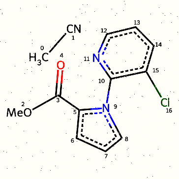 CC#N.COC(=O)c1cccn1-c1ncccc1Cl